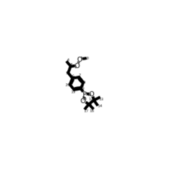 COOC(C)Cc1ccc(P2OC(C)(C)C(C)(C)O2)cc1